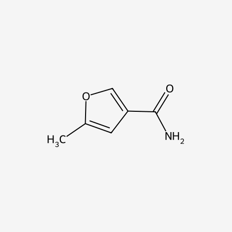 Cc1cc(C(N)=O)co1